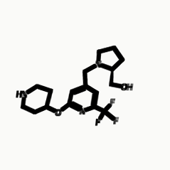 OC[C@@H]1CCCN1Cc1cc(OC2CCNCC2)nc(C(F)(F)F)c1